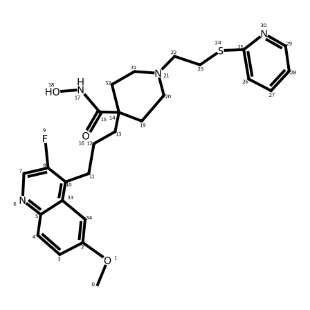 COc1ccc2ncc(F)c(CCCC3(C(=O)NO)CCN(CCSc4ccccn4)CC3)c2c1